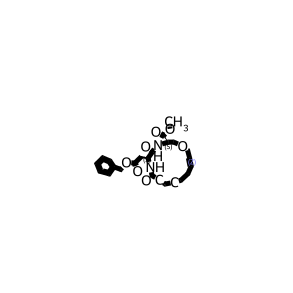 COC(=O)[C@@H]1COC/C=C\CCCCCC(=O)N[C@@H](CC(=O)OCc2ccccc2)C(=O)N1